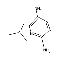 CN(C)C.Nc1cnc(N)nc1